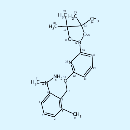 Cc1cccc(N(C)N)c1COc1cccc(B2OC(C)(C)C(C)(C)O2)n1